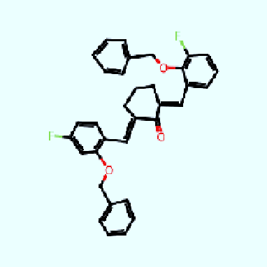 O=C1/C(=C/c2ccc(F)cc2OCc2ccccc2)CCC/C1=C\c1cccc(F)c1OCc1ccccc1